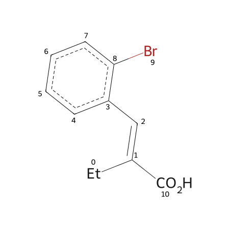 CC/C(=C\c1ccccc1Br)C(=O)O